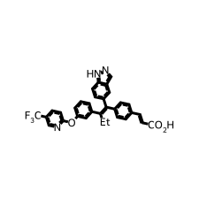 CCC(=C(c1ccc(C=CC(=O)O)cc1)c1ccc2[nH]ncc2c1)c1cccc(Oc2ccc(C(F)(F)F)cn2)c1